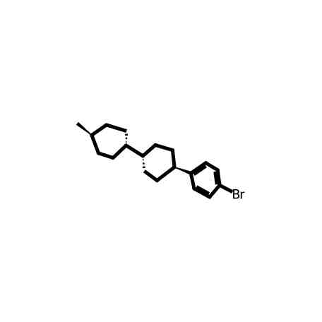 C[C@H]1CC[C@H]([C@H]2CC[C@H](c3ccc(Br)cc3)CC2)CC1